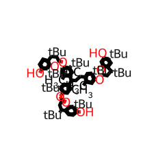 Cc1cc(OC(=O)CC(c2ccc(O)c(C(C)(C)C)c2)C(C)(C)C)c(C(C)(C)C)cc1C(C)CC(c1cc(C(C)(C)C)c(OC(=O)CC(c2ccc(O)c(C(C)(C)C)c2)C(C)(C)C)cc1C)c1cc(C(C)(C)C)c(OC(=O)CC(c2ccc(O)c(C(C)(C)C)c2)C(C)(C)C)cc1C